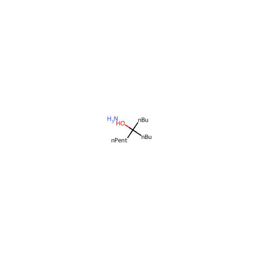 CCCCCC(O)(CCCC)CCCC.N